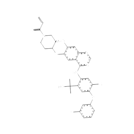 C=CC(=O)N1CCC(Oc2cc3c(Nc4cc(Cl)c(Oc5cccc(F)c5)cc4C(C)(C)O)ncnc3cc2OC)CC1